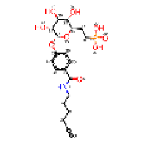 C#CCCCCNC(=O)c1ccc(O[C@H]2O[C@H](CCP(=O)(O)O)[C@@H](O)[C@H](O)[C@@H]2O)cc1